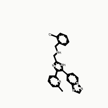 Cc1cccc(-c2nc(CNCc3ccccc3Cl)[nH]c2-c2ccn3ncnc3c2)n1